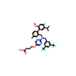 COc1cc(F)c(C(C)C)cc1-c1ccc(C)cc1CN(Cc1cc(C(F)(F)F)cc(C(F)(F)F)c1)c1ncc(OCCCC(=O)O)cn1